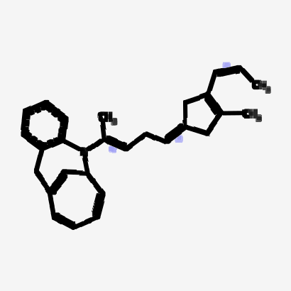 C/C=C\C1=C(C)C/C(=C/C/C=C(\C)N2c3ccccc3CC3=CC2C=CC=C3)C1